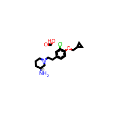 N[C@H]1CCCN(CCc2ccc(OCC3CC3)c(Cl)c2)C1.O=CO